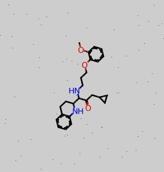 COc1ccccc1OCCCNC(C(=O)CC1CC1)C1CCc2ccccc2N1